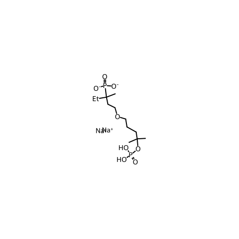 CCC(C)(CCOCCCC(C)(C)OP(=O)(O)O)P(=O)([O-])[O-].[Na+].[Na+]